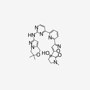 CN1CC[C@@](O)(c2cc(-c3cccc(-c4ccnc(Nc5cc6n(n5)CC(C)(C)OC6)n4)n3)no2)C1=O